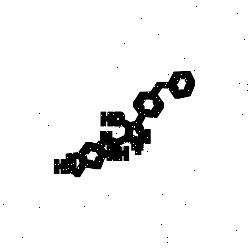 Cn1nc(-c2ccc(Cc3ccccc3)cc2)c(O)c1-c1nc2cc3c(cc2[nH]1)CNC3